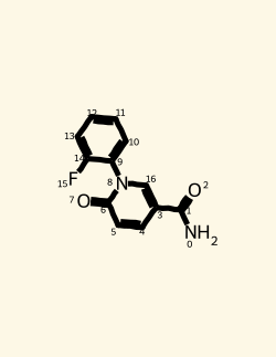 NC(=O)c1ccc(=O)n(-c2ccccc2F)c1